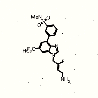 CNS(=O)(=O)c1cccc(-c2cc(C(F)(F)F)cc3c2ncn3C/C(F)=C/CN)c1.Cl